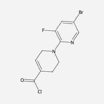 O=C(Cl)C1=CCN(c2ncc(Br)cc2F)CC1